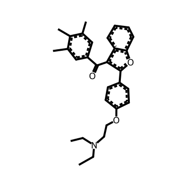 CCN(CC)CCOc1ccc(-c2oc3ccccc3c2C(=O)c2cc(C)c(C)c(C)c2)cc1